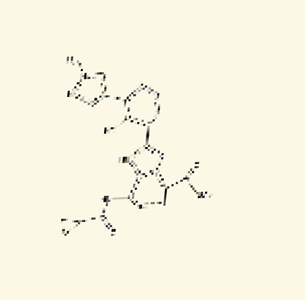 CNC(=O)c1cnc(NC(=O)C2CC2)c2[nH]c(-c3cccc(-c4cnn(C)c4)c3C#N)cc12